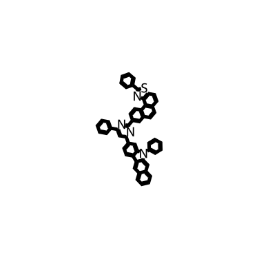 c1ccc(-c2cc(-c3ccc4c5cc6ccccc6cc5n(-c5ccccc5)c4c3)nc(-c3ccc4c(ccc5ccc6sc(-c7ccccc7)nc6c54)c3)n2)cc1